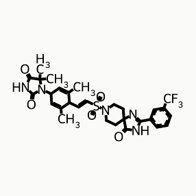 CC1=CC(N2C(=O)NC(=O)C2(C)C)C=C(C)C1/C=C/S(=O)(=O)N1CCC2(CC1)N=C(c1cccc(C(F)(F)F)c1)NC2=O